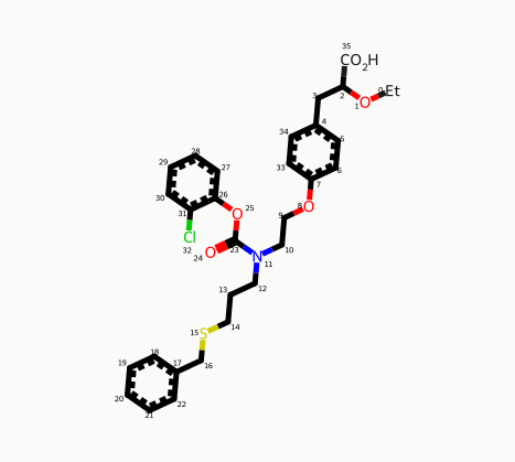 CCOC(Cc1ccc(OCCN(CCCSCc2ccccc2)C(=O)Oc2ccccc2Cl)cc1)C(=O)O